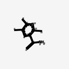 C=C(N)c1cc(C)c(C)nc1C